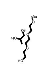 CC(O)CO.CCCCOCCOCCOCCO